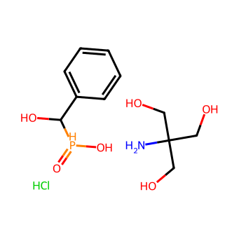 Cl.NC(CO)(CO)CO.O=[PH](O)C(O)c1ccccc1